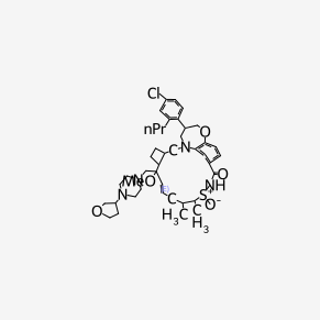 CCCc1cc(Cl)ccc1C1COc2ccc3cc2N(C1)CC1CCC1C(CN1CCN(C2CCOC2)CC1)(OC)/C=C/CC(C)C(C)[S+]([O-])NC3=O